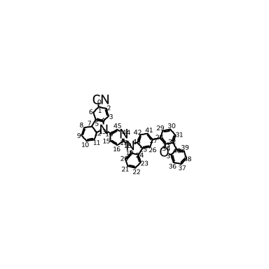 N#CC1C=CC2=C(C1)C1C=CC=CC1N2c1ccc(-n2c3ccccc3c3cc(-c4cccc5c4oc4ccccc45)ccc32)nc1